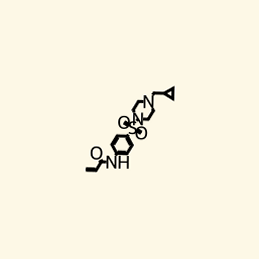 C=CC(=O)Nc1ccc(S(=O)(=O)N2CCN(CC3CC3)CC2)cc1